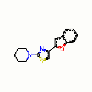 c1ccc2oc(-c3csc(N4CCCCC4)n3)cc2c1